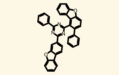 c1ccc(-c2nc(-c3ccc4c(c3)oc3ccccc34)nc(-c3c(-c4ccccc4)ccc4oc5ccccc5c34)n2)cc1